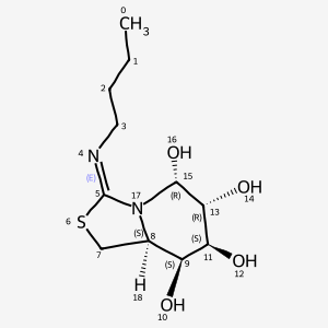 CCCC/N=C1/SC[C@@H]2[C@H](O)[C@H](O)[C@@H](O)[C@@H](O)N12